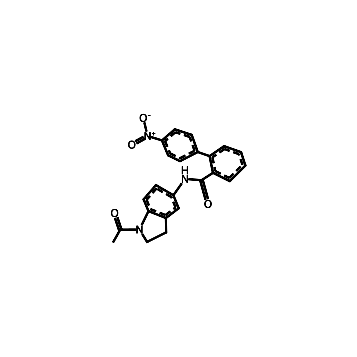 CC(=O)N1CCc2cc(NC(=O)c3ccccc3-c3ccc([N+](=O)[O-])cc3)ccc21